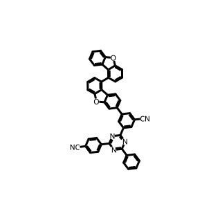 N#Cc1ccc(-c2nc(-c3ccccc3)nc(-c3cc(C#N)cc(-c4ccc5c(c4)oc4cccc(-c6cccc7oc8ccccc8c67)c45)c3)n2)cc1